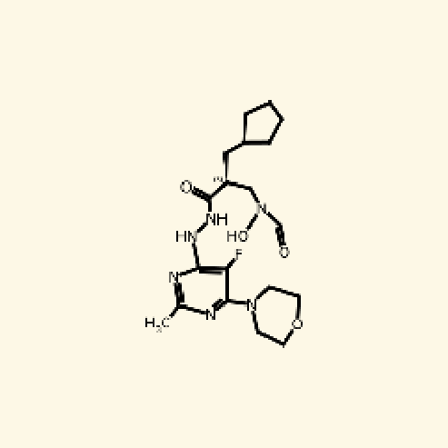 Cc1nc(NNC(=O)[C@@H](CC2CCCC2)CN(O)C=O)c(F)c(N2CCOCC2)n1